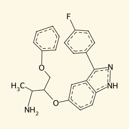 CC(N)C(COc1ccccc1)Oc1ccc2[nH]nc(-c3ccc(F)cc3)c2c1